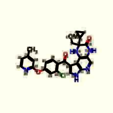 COCC1(C2CC2)Nc2c(cnc3[nH]cc(C(=O)c4ccc(Oc5cc(C)ccn5)cc4Cl)c23)NC1=O